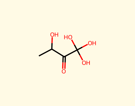 CC(O)C(=O)C(O)(O)O